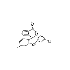 Cc1ccc2c(c1)Oc1cc(Cl)ccc1C21OC(=O)c2ccccc21